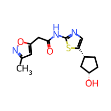 Cc1cc(CC(=O)Nc2ncc([C@@H]3CC[C@H](O)C3)s2)on1